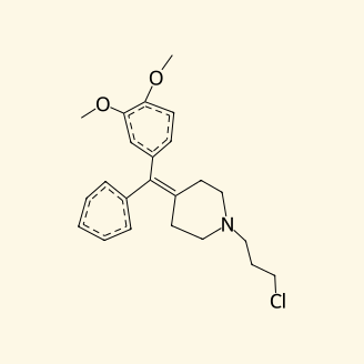 COc1ccc(C(=C2CCN(CCCCl)CC2)c2ccccc2)cc1OC